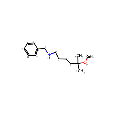 CC(C)(CCCCNCc1ccccc1)O[SiH3]